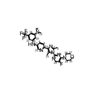 Cc1nc(-c2ccc(Nc3cc(N(C)C)cc(C(F)(F)F)c3)cn2)c(C)n1-c1ncc(F)c(N2CCOCC2)n1